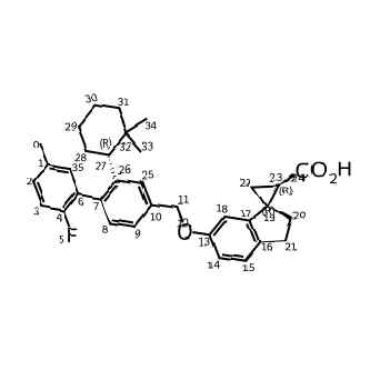 Cc1ccc(F)c(-c2ccc(COc3ccc4c(c3)[C@]3(CC4)C[C@H]3C(=O)O)cc2[C@@H]2CCCCC2(C)C)c1